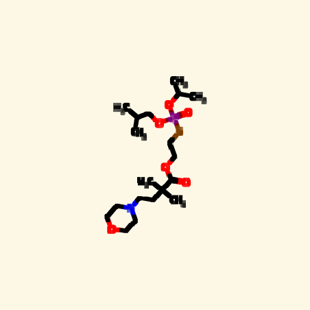 CC(C)COP(=O)(OC(C)C)SCCOC(=O)C(C)(C)CCN1CCOCC1